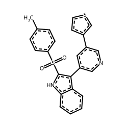 Cc1ccc(S(=O)(=O)c2[nH]c3ccccc3c2-c2cncc(-c3ccsc3)c2)cc1